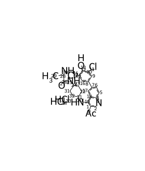 CC(=O)c1cnc2ccc(-c3cc(Cl)c(O)c(Cl)c3)cc2c1NC1CCC(NC(=O)C(C)N)CC1.Cl.Cl